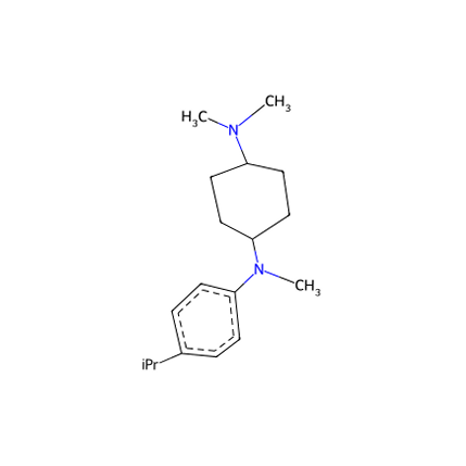 CC(C)c1ccc(N(C)C2CCC(N(C)C)CC2)cc1